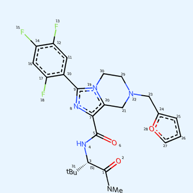 CNC(=O)[C@@H](NC(=O)c1nc(-c2cc(F)c(F)cc2F)n2c1CN(Cc1ccco1)CC2)C(C)(C)C